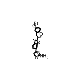 CCOc1ccc2c(c1)CC(c1nc3ccc(-c4ccnc(N)n4)cc3o1)CO2